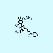 NCOc1cc(-c2nc(N)nc(SCCC(=O)N3CCOCC3)n2)c(Cl)cc1Cl